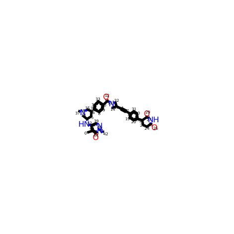 Cc1c(N[C@@H]2C[C@H](c3ccc(C(=O)N4CC(C#Cc5ccc(C6CCC(=O)NC6=O)cc5)C4)cc3)CN(C)C2)cnn(C)c1=O